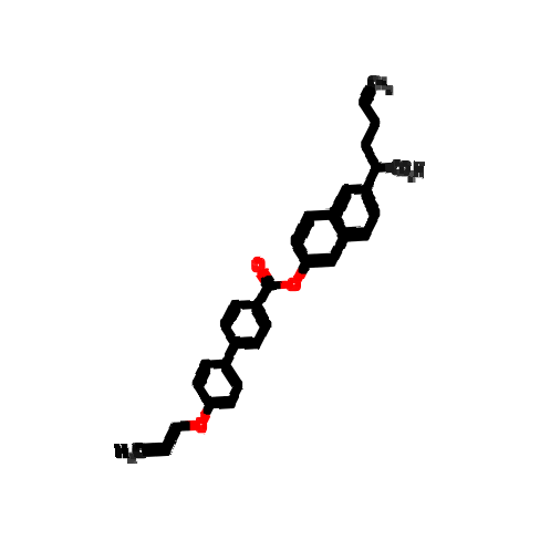 C=CCCC(C(=O)O)c1ccc2cc(OC(=O)c3ccc(-c4ccc(OCC=C)cc4)cc3)ccc2c1